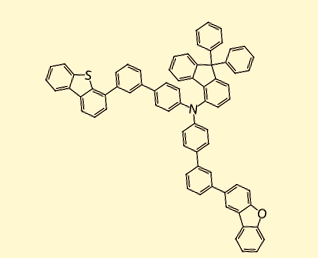 c1ccc(C2(c3ccccc3)c3ccccc3-c3c(N(c4ccc(-c5cccc(-c6ccc7oc8ccccc8c7c6)c5)cc4)c4ccc(-c5cccc(-c6cccc7c6sc6ccccc67)c5)cc4)cccc32)cc1